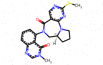 CSc1ncc2c(n1)N1CCC[C@H]1CN(c1cccc3ncn(C)c(=O)c13)C2=O